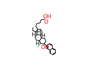 C[C@H](CCC(=O)O)[C@H]1CC[C@H]2[C@@H]3CC[C@@H]4C(F)[C@](O)(c5ccc6ccccc6c5)CC[C@]4(C)[C@H]3CC[C@]12C